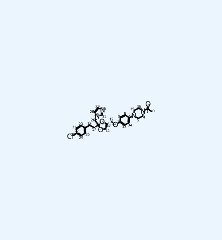 CC(=O)N1CCN(c2ccc(OC[C@@H]3CO[C@](CCc4ccc(Cl)cc4)(Cn4ccnc4)O3)cc2)CC1